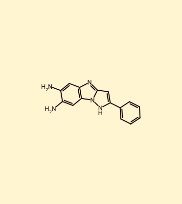 Nc1cc2nc3cc(-c4ccccc4)[nH]n3c2cc1N